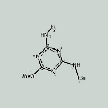 CCNc1nc(NC(C)(C)C)nc(OC)n1